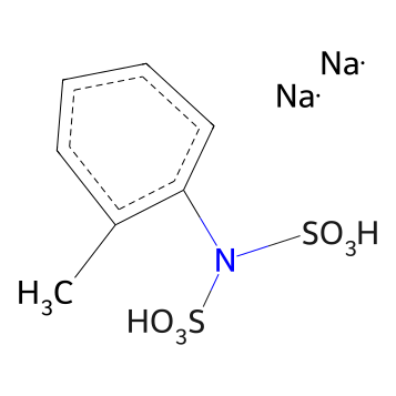 Cc1ccccc1N(S(=O)(=O)O)S(=O)(=O)O.[Na].[Na]